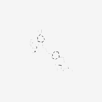 CCOP(=O)(OCC)OC(COc1ccc(CC2SC(=O)NC2=O)cc1)c1ccc(C(F)(F)F)cc1